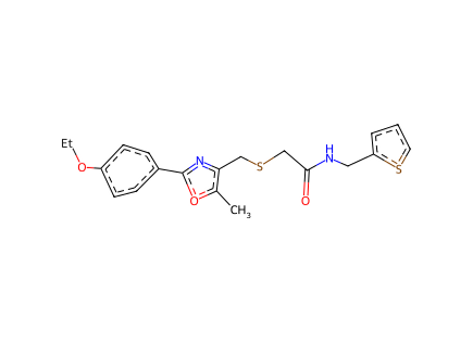 CCOc1ccc(-c2nc(CSCC(=O)NCc3cccs3)c(C)o2)cc1